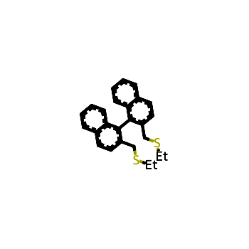 CCSCc1ccc2ccccc2c1-c1c(CSCC)ccc2ccccc12